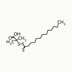 CCCCCCCCCCCCC(=S)SSC(C)(C)C(=O)O